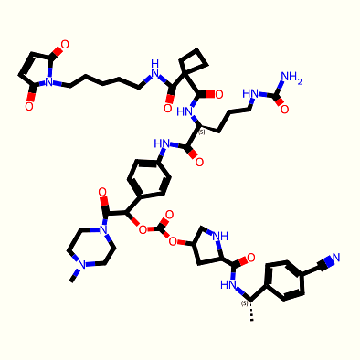 C[C@H](NC(=O)C1CC(OC(=O)OC(C(=O)N2CCN(C)CC2)c2ccc(NC(=O)[C@H](CCCNC(N)=O)NC(=O)C3(C(=O)NCCCCCN4C(=O)C=CC4=O)CCC3)cc2)CN1)c1ccc(C#N)cc1